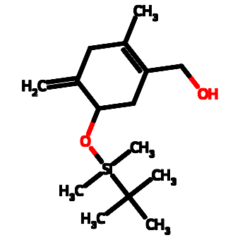 C=C1CC(C)=C(CO)CC1O[Si](C)(C)C(C)(C)C